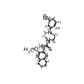 COc1nc2ccccc2nc1NC(=S)N1CCN(c2cccc(Br)c2)CC1